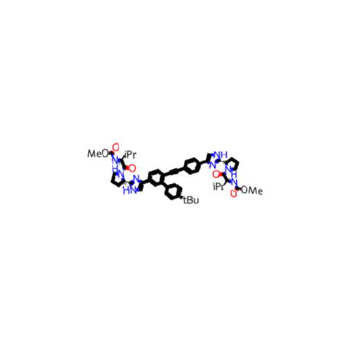 COC(=O)N[C@H](C(=O)N1CCC[C@H]1c1nc(-c2ccc(C#Cc3ccc(-c4c[nH]c([C@@H]5CCCN5C(=O)[C@@H](NC(=O)OC)C(C)C)n4)cc3-c3ccc(C(C)(C)C)cc3)cc2)c[nH]1)C(C)C